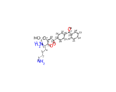 NCCCCC(N)C(=O)C(=CC(=O)c1ccc(C(=O)c2ccccc2)cc1)C(=O)O